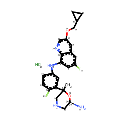 CC1(c2cc(Nc3cc(F)cc4cc(OCC5CC5)cnc34)ccc2F)CNC[C@H](N)O1.Cl